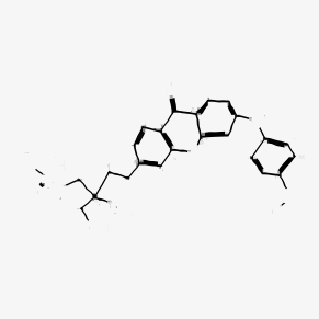 COc1ccc(Oc2ccc3c(=O)c4ccc(CCC(N)(CO)COP(=O)(O)O)cc4oc3c2)cc1